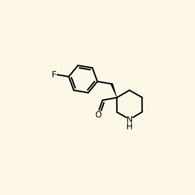 O=C[C@]1(Cc2ccc(F)cc2)CCCNC1